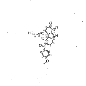 COc1cnc(C(=O)N2CCc3[nH]c4c(Cl)c(Cl)cc(C#CCO)c4c3C2C)nc1